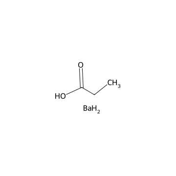 CCC(=O)O.[BaH2]